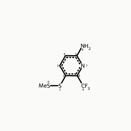 CSSc1ccc(N)nc1C(F)(F)F